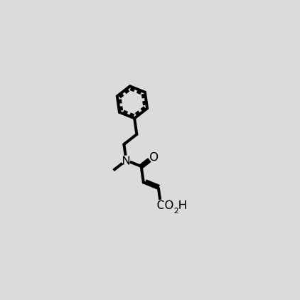 CN(CCc1ccccc1)C(=O)C=CC(=O)O